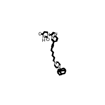 O=C1CCN(c2cnc3ccc(C#CCCCCCN4CCN(C56CC7CC(CC(C7)C5)C6)CC4)cn23)C(=O)N1